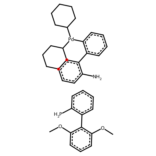 COc1cccc(OC)c1-c1ccccc1P.Nc1ccccc1-c1cccc[c]1[Pd]([CH]1CCCCC1)[CH]1CCCCC1